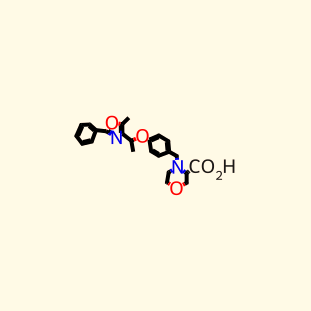 Cc1oc(-c2ccccc2)nc1C(C)Oc1ccc(CN2CCOCC2C(=O)O)cc1